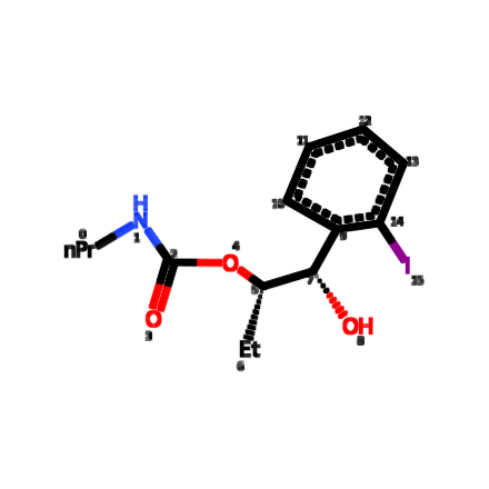 CCCNC(=O)O[C@@H](CC)[C@@H](O)c1ccccc1I